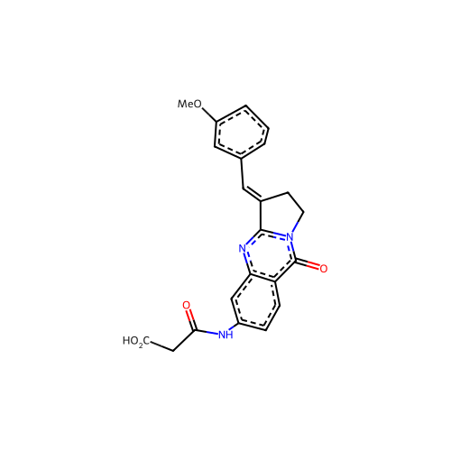 COc1cccc(/C=C2\CCn3c2nc2cc(NC(=O)CC(=O)O)ccc2c3=O)c1